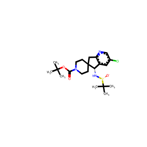 CC(C)(C)OC(=O)N1CCC2(CC1)Cc1ncc(Cl)cc1[C@@H]2N[S@+]([O-])C(C)(C)C